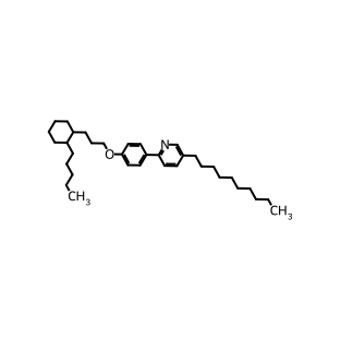 CCCCCCCCCCc1ccc(-c2ccc(OCCCC3CCCCC3CCCCC)cc2)nc1